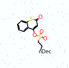 CCCCCCCCCCCCS(=O)(=O)Oc1cc(=O)sc2ccccc12